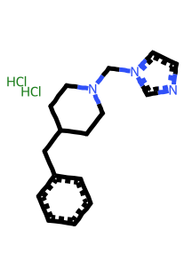 Cl.Cl.c1ccc(CC2CCN(Cn3ccnc3)CC2)cc1